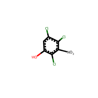 O=[N+]([O-])c1c(Cl)c(O)cc(Cl)c1Cl